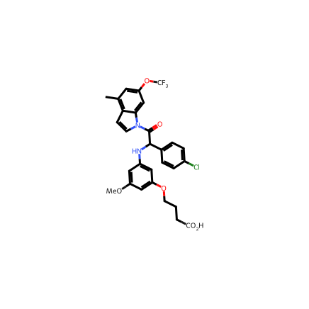 COc1cc(NC(C(=O)n2ccc3c(C)cc(OC(F)(F)F)cc32)c2ccc(Cl)cc2)cc(OCCCC(=O)O)c1